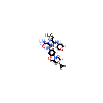 CCc1nc(C(N)=O)c(Nc2ccc3c(c2)OC[C@H]2CN(C4CC4)CCN32)nc1NC1CCOCC1